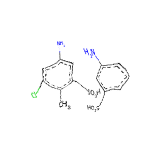 Cc1c(Cl)cc(N)cc1S(=O)(=O)O.Nc1cccc(S(=O)(=O)O)c1